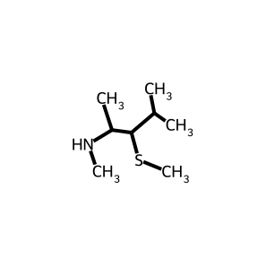 CNC(C)C(SC)C(C)C